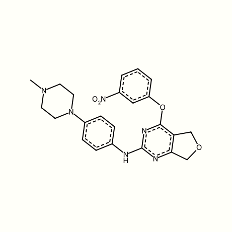 CN1CCN(c2ccc(Nc3nc4c(c(Oc5cccc([N+](=O)[O-])c5)n3)COC4)cc2)CC1